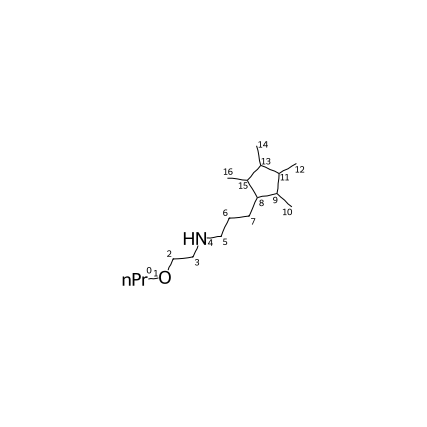 CCCOCCNCCCC1C(C)C(C)C(C)C1C